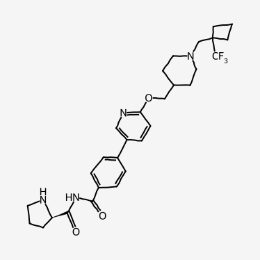 O=C(NC(=O)[C@H]1CCCN1)c1ccc(-c2ccc(OCC3CCN(CC4(C(F)(F)F)CCC4)CC3)nc2)cc1